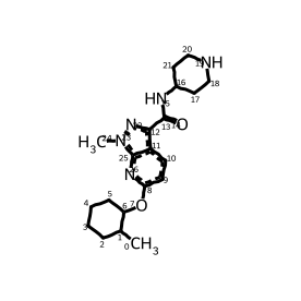 CC1CCCCC1Oc1ccc2c(C(=O)NC3CCNCC3)nn(C)c2n1